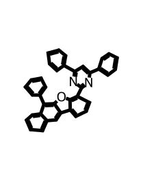 c1ccc(-c2cc(-c3ccccc3)nc(-c3cccc4c3oc3c(-c5ccccc5)c5ccccc5cc34)n2)cc1